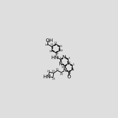 O=c1ccc2cnc(Nc3cccc(CO)c3)nc2n1CCC1CNC1